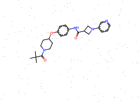 CC(C)(C)C(=O)N1CCC(Oc2ccc(NC(=O)C3CN(c4cccnc4)C3)cc2)CC1